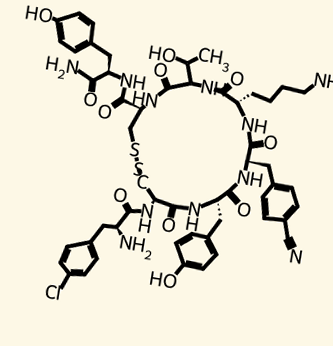 CC(O)C1NC(=O)[C@H](CCCCN)NC(=O)[C@@H](Cc2ccc(C#N)cc2)NC(=O)[C@H](Cc2ccc(O)cc2)NC(=O)[C@H](NC(=O)[C@@H](N)Cc2ccc(Cl)cc2)CSSC[C@@H](C(=O)N[C@H](Cc2ccc(O)cc2)C(N)=O)NC1=O